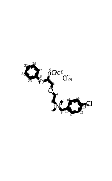 CCCCCCCCC(COCC[N+](C)(C)Cc1ccc(Cl)cc1)Oc1ccccc1.[Cl-]